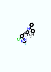 O=C(O)[C@@]1(Cc2ccc(Cl)c(-c3ncc(F)cn3)c2)CC[C@H](N=C(c2ccccc2)c2ccccc2)C1